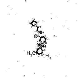 C[C@@H]1C[C@H](C)CN(S(=O)(=O)N2CCC[C@H](C(=O)NCCN3CCCC3)C2)C1